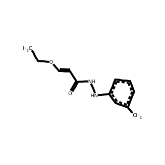 CCO/C=C/C(=O)NNc1cccc(C)c1